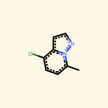 Cc1ccc(Cl)c2ccnn12